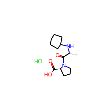 C[C@@H](NC1CCCCC1)C(=O)N1CCC[C@H]1C(=O)O.Cl